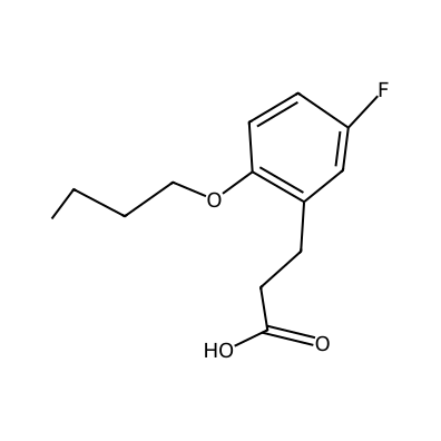 CCCCOc1ccc(F)cc1CCC(=O)O